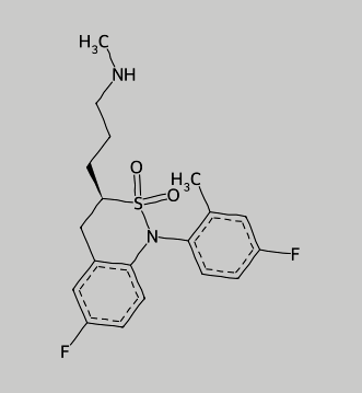 CNCCC[C@@H]1Cc2cc(F)ccc2N(c2ccc(F)cc2C)S1(=O)=O